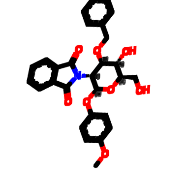 COc1ccc(O[C@@H]2O[C@H](CO)[C@@H](O)[C@H](OCc3ccccc3)[C@H]2N2C(=O)c3ccccc3C2=O)cc1